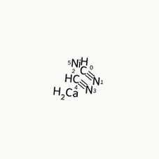 C#N.C#N.[CaH2].[Ni]